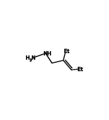 CC/C=C(\CC)CNN